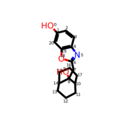 Oc1ccc2nc(CC3(O)C4CCCC3CCC4)oc2c1